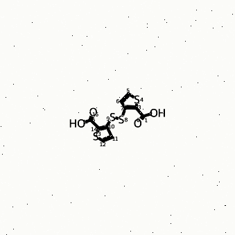 O=C(O)c1sccc1SSc1ccsc1C(=O)O